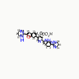 CC(=O)O.c1cc2cc(-c3ccc(-c4ccc5cc(C6=NCCCN6)oc5c4)cn3)[nH]c2cc1C1=NCCCN1